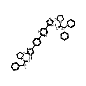 [CH2][C@@H](C(=O)N1CCC[C@H]1c1nc(-c2ccc(-c3ncc(-c4cnc([C@@H]5CCCN5C(=O)[C@@H](c5ccccc5)N5C=CC=CC5)[nH]4)cn3)cc2)c[nH]1)c1ccccc1